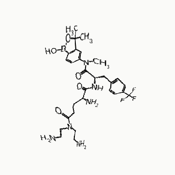 CN(C(=O)[C@@H](Cc1ccc(C(F)(F)F)cc1)NC(=O)[C@@H](N)CCC(=O)N(CCN)CCN)c1ccc2c(c1)C(C)(C)OB2O